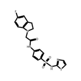 O=C(CN1CCc2cc(F)ccc21)Nc1ccc(S(=O)(=O)Nc2nccs2)cc1